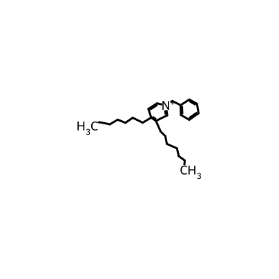 CCCCCCCc1cc[n+](Cc2ccccc2)cc1CCCCCCC